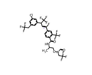 CC(CON(C=O)CC(F)(F)F)NC(=O)c1ccc(/C(F)=C/C(c2cc(Cl)cc(CC(F)(F)F)c2)C(F)(F)F)cc1C(F)(F)F